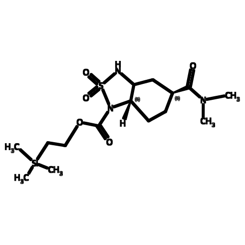 CN(C)C(=O)[C@H]1CC[C@H]2C(C1)NS(=O)(=O)N2C(=O)OCC[Si](C)(C)C